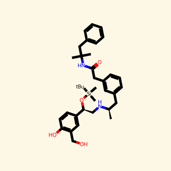 C[C@H](Cc1cccc(CC(=O)NC(C)(C)Cc2ccccc2)c1)NC[C@H](O[Si](C)(C)C(C)(C)C)c1ccc(O)c(CO)c1